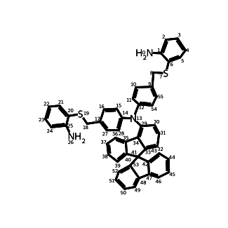 Nc1ccccc1SCc1ccc(N(c2ccc(CSc3ccccc3N)cc2)c2cccc3c2-c2ccccc2C32c3ccccc3-c3ccccc32)cc1